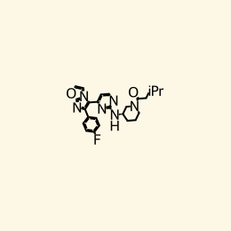 CC(C)CC(=O)N1CCC[C@@H](Nc2nccc(-c3c(-c4ccc(F)cc4)nc4occn34)n2)C1